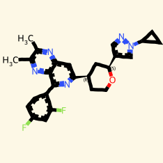 Cc1nc2cc([C@@H]3CCO[C@H](c4cnn(C5CC5)c4)C3)nc(-c3ccc(F)cc3F)c2nc1C